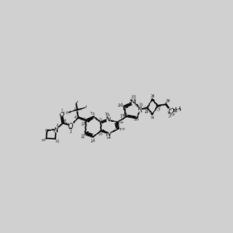 CC(C)(C)C(OC(=O)N1CCC1)c1ccc2ncc(-c3cnn(C4CC(CO)C4)c3)nc2c1